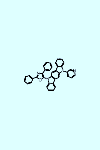 c1ccc(-c2nc(-c3ccccc3)c(-n3c4ccccc4c4cc5c(cc43)c3ccccc3n5-c3cccnc3)o2)cc1